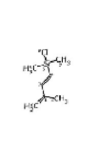 C=C(C)C=C[Si](C)(C)Cl